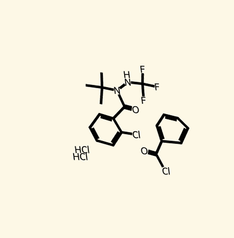 CC(C)(C)N(NC(F)(F)F)C(=O)c1ccccc1Cl.Cl.Cl.O=C(Cl)c1ccccc1